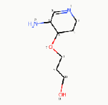 NC1C=NCCC1OCCCO